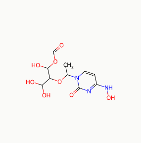 CC(OC(C(O)O)C(O)OC=O)n1ccc(NO)nc1=O